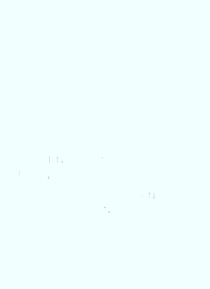 N#Cc1cncc(COc2cc(O[C@H]3CCc4c(-c5ccccc5F)cccc43)c(Cl)cc2CN[C@@H](C(=O)O)c2ccc(O)cc2)c1